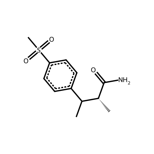 CC(c1ccc(S(C)(=O)=O)cc1)[C@@H](C)C(N)=O